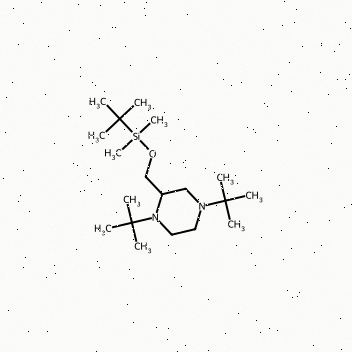 CC(C)(C)N1CCN(C(C)(C)C)C(CO[Si](C)(C)C(C)(C)C)C1